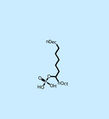 CCCCCCCCCCCCCCCC(CCCCCCCC)OP(=O)(O)O